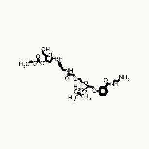 CCOC(=O)O[C@@H]1C[C@H](BC#CCNC(=O)COCCOC(COc2cccc(C(=O)NCCN)c2)SSC(C)(C)C)OC1CO